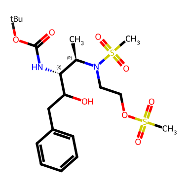 C[C@H]([C@@H](NC(=O)OC(C)(C)C)C(O)Cc1ccccc1)N(CCOS(C)(=O)=O)S(C)(=O)=O